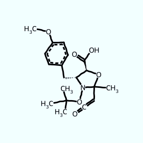 COc1ccc(C[C@@H]2[C@@H](C(=O)O)OC(C)(C=C=O)N2OC(C)(C)C)cc1